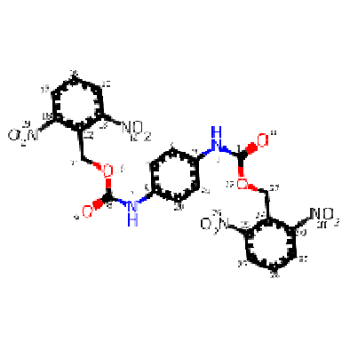 O=C(Nc1ccc(NC(=O)OCc2c([N+](=O)[O-])cccc2[N+](=O)[O-])cc1)OCc1c([N+](=O)[O-])cccc1[N+](=O)[O-]